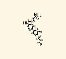 NC(=O)/C=C/c1c[nH]c2ncc(-c3cnc(OCCCF)c(F)c3)cc12